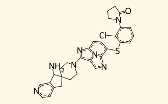 NC1c2cnccc2CC12CCN(c1nc3ccc(Sc4cccc(N5CCCC5=O)c4Cl)c4ncc1n34)CC2